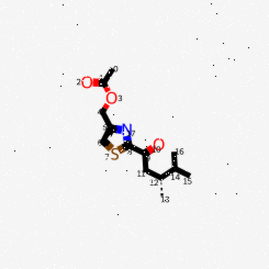 CC(=O)OCc1csc(C(=O)C[C@@H](C)C(C)C)n1